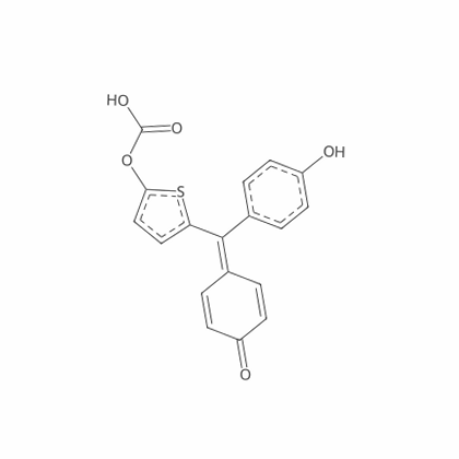 O=C1C=CC(=C(c2ccc(O)cc2)c2ccc(OC(=O)O)s2)C=C1